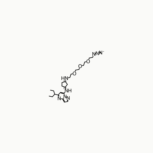 CCC(CC)c1cc(N[C@H]2CC[C@H](NCCOCCOCCOCCN=[N+]=[N-])C2)n2nccc2n1